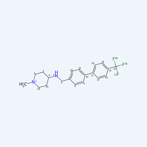 CN1CCC(NCc2ccc(-c3ccc(C(F)(F)F)cc3)cc2)CC1